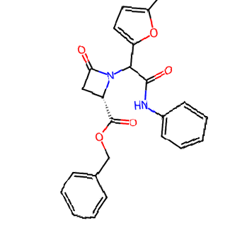 Cc1ccc(C(C(=O)Nc2ccccc2)N2C(=O)C[C@H]2C(=O)OCc2ccccc2)o1